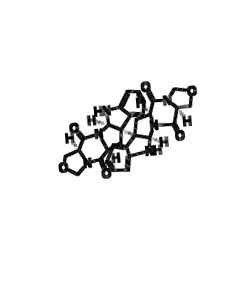 O=C1[C@@H]2CC3([C@]45C[C@H]6C(=O)N7COC[C@H]7C(=O)N6[C@H]4Nc4ccccc45)c4ccccc4N[C@@H]3N2C(=O)[C@@H]2COCN12